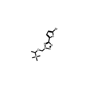 CC(OCn1nnc(-c2ccc(Br)s2)n1)[Si](C)(C)C